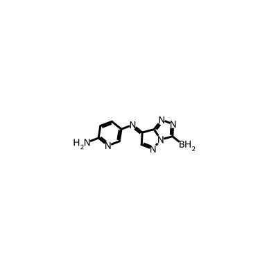 Bc1nnc2n1N=C/C2=N\c1ccc(N)nc1